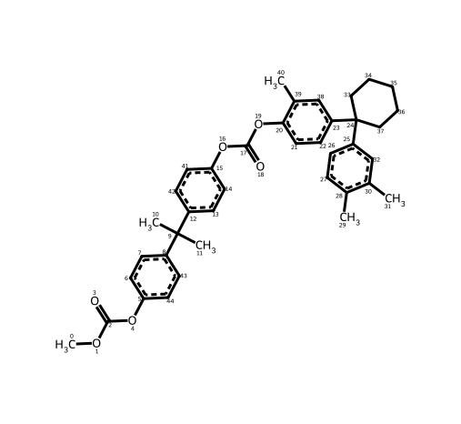 COC(=O)Oc1ccc(C(C)(C)c2ccc(OC(=O)Oc3ccc(C4(c5ccc(C)c(C)c5)CCCCC4)cc3C)cc2)cc1